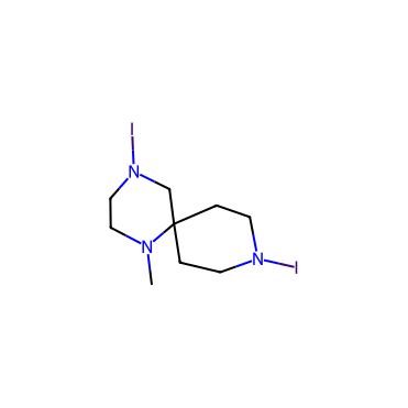 CN1CCN(I)CC12CCN(I)CC2